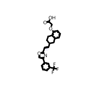 O=C(O)COc1cccc2c1CCC(/C=C/c1nc(-c3cccc(C(F)(F)F)c3)co1)C2